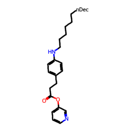 CCCCCCCCCCCCCCCCNc1ccc(CCC(=O)Oc2cccnc2)cc1